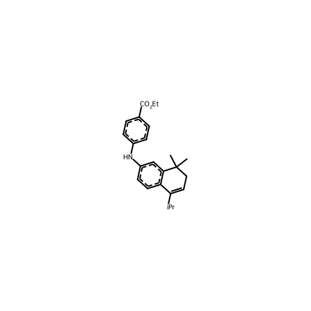 CCOC(=O)c1ccc(Nc2ccc3c(c2)C(C)(C)CC=C3C(C)C)cc1